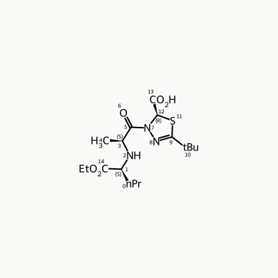 CCC[C@H](N[C@@H](C)C(=O)N1N=C(C(C)(C)C)S[C@@H]1C(=O)O)C(=O)OCC